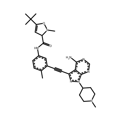 Cc1ccc(NC(=O)C2C=C(C(C)(C)C)ON2C)cc1C#Cc1nn(C2CCN(C)CC2)c2ncnc(N)c12